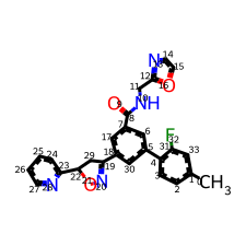 Cc1ccc(-c2cc(C(=O)NCc3ncco3)cc(C3=NOC(c4ccccn4)C3)c2)c(F)c1